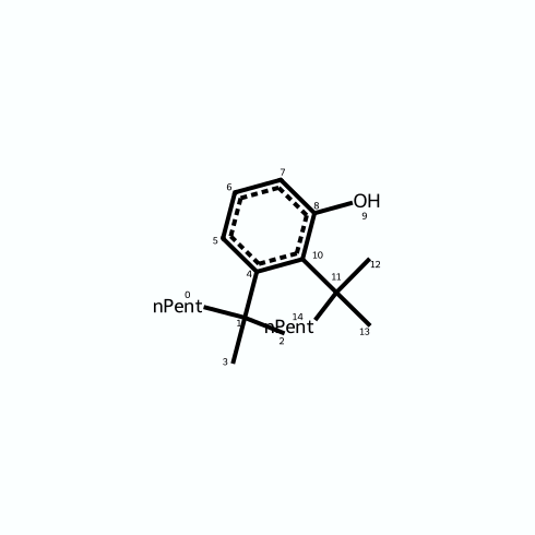 CCCCCC(C)(C)c1cccc(O)c1C(C)(C)CCCCC